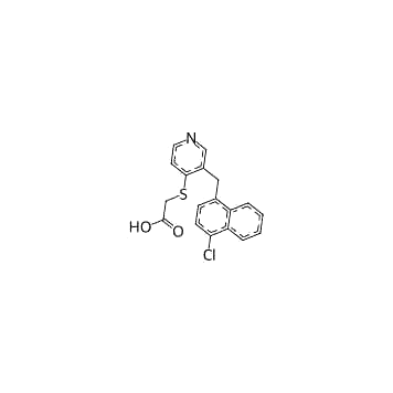 O=C(O)CSc1ccncc1Cc1ccc(Cl)c2ccccc12